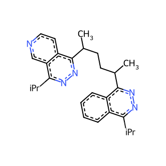 CC(C)c1nnc(C(C)CCC(C)c2nnc(C(C)C)c3cnccc23)c2ccccc12